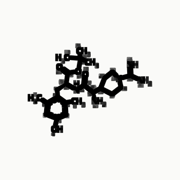 Cc1cc(O)cc(C)c1C[C@H](NC(=O)[C@H](N)C1CCN(C(=N)N)CC1)C(=O)OC(C)(C)C